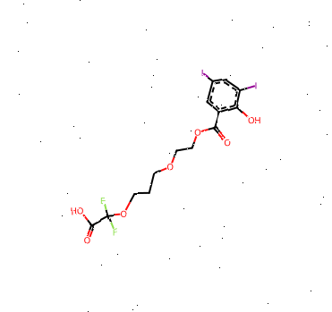 O=C(OCCOCCCOC(F)(F)C(=O)O)c1cc(I)cc(I)c1O